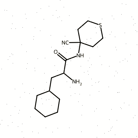 N#CC1(NC(=O)C(N)CC2CCCCC2)CCSCC1